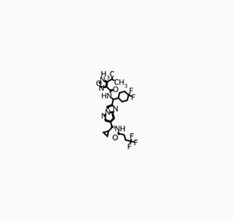 CC(C)c1nonc1C(=O)NC(c1cn2ncc([C@H](NC(=O)CCC(F)(F)F)C3CC3)cc2n1)C1CCC(F)(F)CC1